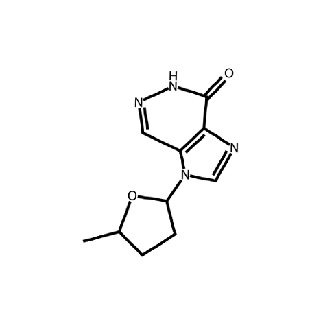 CC1CCC(n2cnc3c(=O)[nH]ncc32)O1